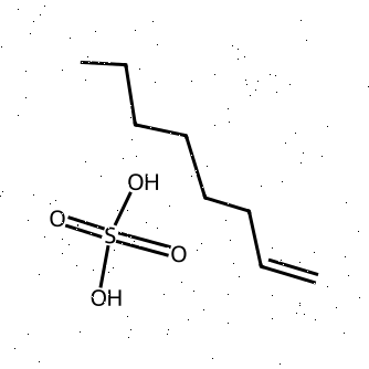 C=CCCCCCC.O=S(=O)(O)O